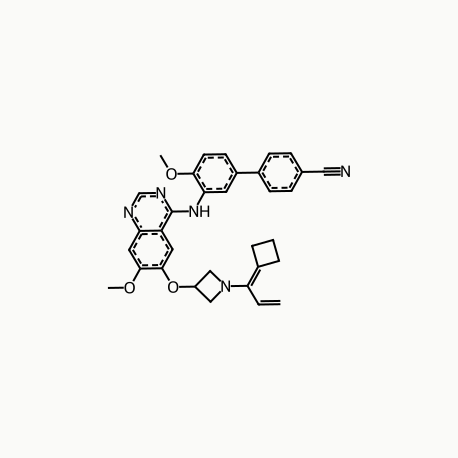 C=CC(=C1CCC1)N1CC(Oc2cc3c(Nc4cc(-c5ccc(C#N)cc5)ccc4OC)ncnc3cc2OC)C1